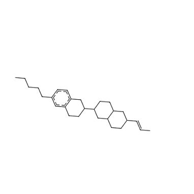 CC=CC1CCC2CC(C3CCc4cc(CCCCC)ccc4C3)CCC2C1